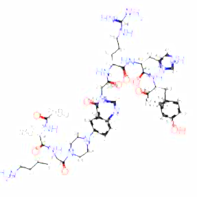 CCCCC(=O)N[C@H](C(=O)N[C@@H](CCCCN)C(=O)N1CCN(c2ccc3ncn(CC(=O)N[C@@H](CCCNC(=N)N)C(=O)N[C@@H](Cc4c[nH]cn4)C(=O)N[C@@H](Cc4ccc(O)cc4)C(=O)NC)c(=O)c3c2)CC1)[C@@H](C)CC